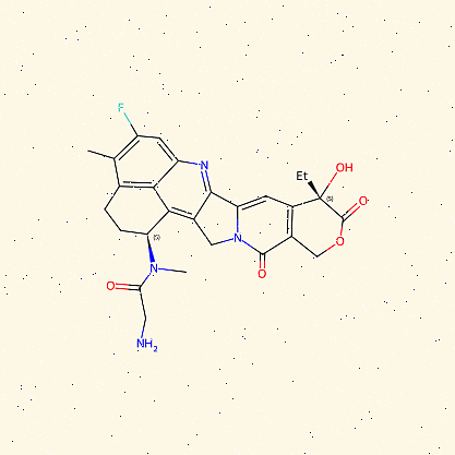 CC[C@@]1(O)C(=O)OCc2c1cc1n(c2=O)Cc2c-1nc1cc(F)c(C)c3c1c2[C@@H](N(C)C(=O)CN)CC3